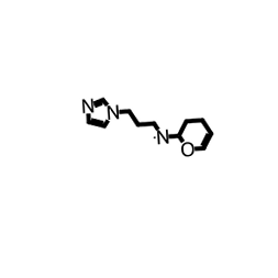 C1=COC([N]CCCn2ccnc2)CC1